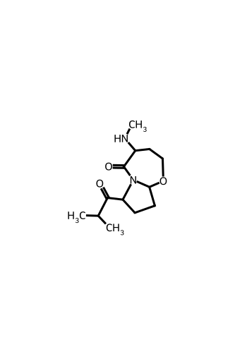 CNC1CCOC2CCC(C(=O)C(C)C)N2C1=O